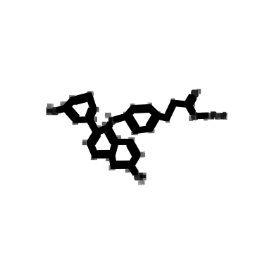 CCCCCOC(=O)CCc1ccc(Oc2c(-c3cccc(O)c3)ccc3cc(O)ccc23)cc1